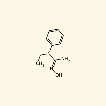 CCN(/C(N)=N/O)c1ccccc1